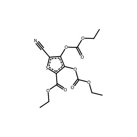 CCOC(=O)Oc1c(C#N)sc(C(=O)OCC)c1OC(=O)OCC